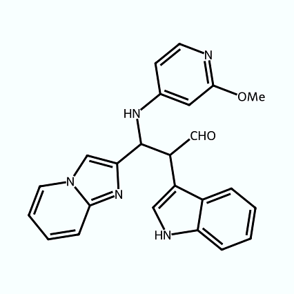 COc1cc(NC(c2cn3ccccc3n2)C(C=O)c2c[nH]c3ccccc23)ccn1